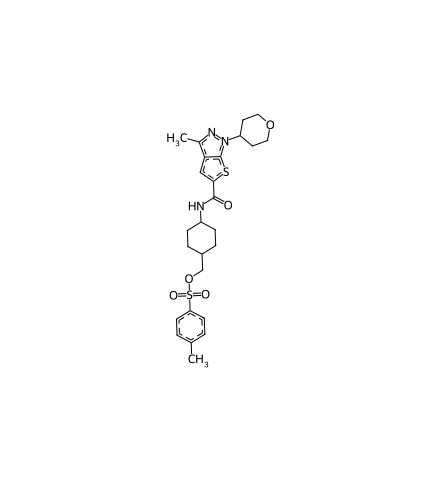 Cc1ccc(S(=O)(=O)OCC2CCC(NC(=O)c3cc4c(C)nn(C5CCOCC5)c4s3)CC2)cc1